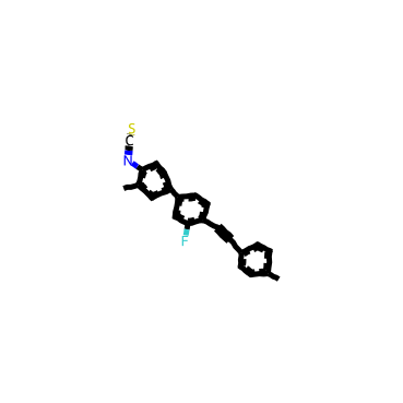 Cc1ccc(C#Cc2ccc(-c3ccc(N=C=S)c(C)c3)cc2F)cc1